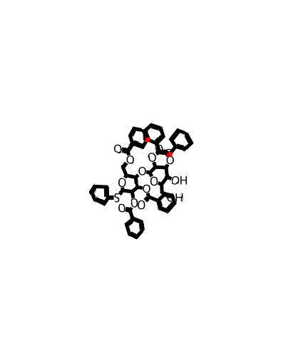 O=C(OCC1OC(Sc2ccccc2)C(OC(=O)c2ccccc2)C(OC(=O)c2ccccc2)C1OC1OC(CO)C(O)C(OC(=O)c2ccccc2)C1OC(=O)c1ccccc1)c1ccccc1